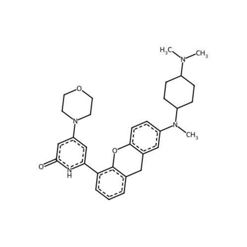 CN(C)C1CCC(N(C)c2ccc3c(c2)Cc2cccc(-c4cc(N5CCOCC5)cc(=O)[nH]4)c2O3)CC1